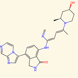 C=N/C(=C\C=C(/C)N1CC[C@H](O)C[C@@H]1C)Nc1ccc(-c2cnc3cnccn23)c2c1C(=O)NC2